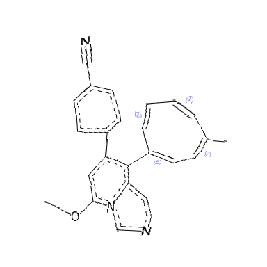 COc1cc(-c2ccc(C#N)cc2)c(C2=C/C=C(C)\C=C/C=C\2)c2cncn12